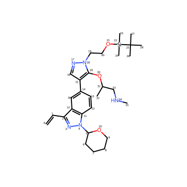 C=Cc1nn(C2CCCCO2)c2ccc(-c3cnn(CCO[Si](C)(C)C(C)(C)C)c3OC(C)CNC)cc12